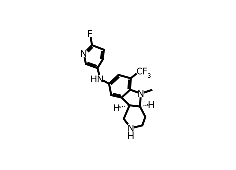 CN1c2c(cc(Nc3ccc(F)nc3)cc2C(F)(F)F)[C@@H]2CNCC[C@@H]21